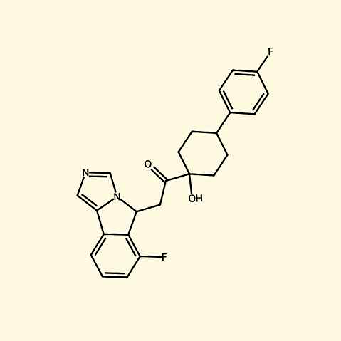 O=C(CC1c2c(F)cccc2-c2cncn21)C1(O)CCC(c2ccc(F)cc2)CC1